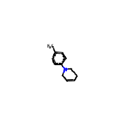 FC(F)(F)c1ccc(N2CC=CCC2)cc1